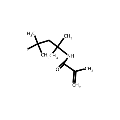 C=C(C)C(=O)NC(C)(C)CC(C)(C)I